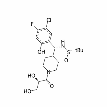 CC(C)(C)[S@+]([O-])N[C@@H](c1cc(Cl)c(F)cc1O)C1CCN(C(=O)[C@H](O)CO)CC1